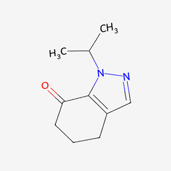 CC(C)n1ncc2c1C(=O)CCC2